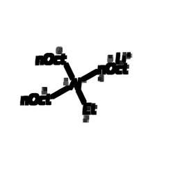 CCCCCCC[CH2][Al-]([CH2]C)([CH2]CCCCCCC)[CH2]CCCCCCC.[Li+]